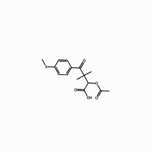 CSc1ccc(C(=O)C(C)(C)C(OC(C)=O)C(=O)O)cc1